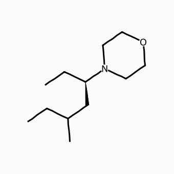 CCC(C)C[C@@H](CC)N1CCOCC1